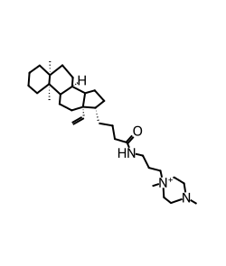 C=C[C@]12CCC3[C@@H](CC[C@]4(C)CCCC[C@]34C)C1CC[C@@H]2CCCC(=O)NCCC[N+]1(C)CCN(C)CC1